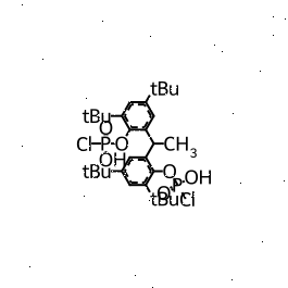 CC(c1cc(C(C)(C)C)cc(C(C)(C)C)c1OP(=O)(O)Cl)c1cc(C(C)(C)C)cc(C(C)(C)C)c1OP(=O)(O)Cl